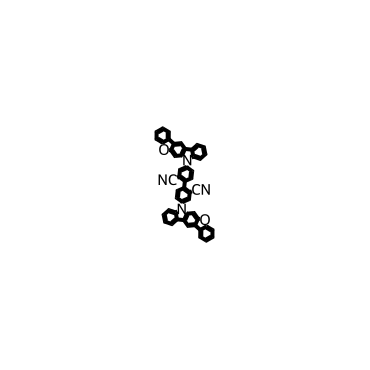 N#Cc1cc(-n2c3ccccc3c3cc4c(cc32)oc2ccccc24)ccc1-c1ccc(-n2c3ccccc3c3cc4c(cc32)oc2ccccc24)cc1C#N